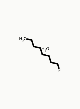 CCCCCCCCF.O